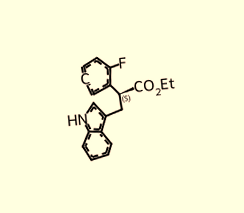 CCOC(=O)[C@@H](Cc1c[nH]c2ccccc12)c1ccccc1F